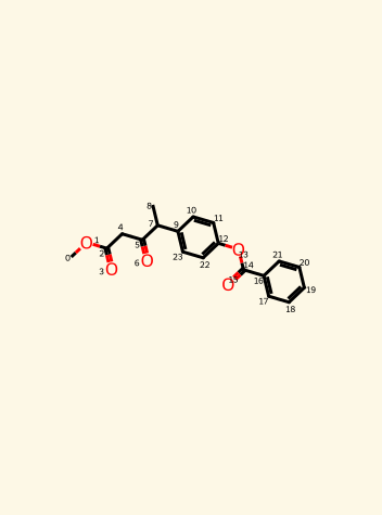 COC(=O)CC(=O)C(C)c1ccc(OC(=O)c2ccccc2)cc1